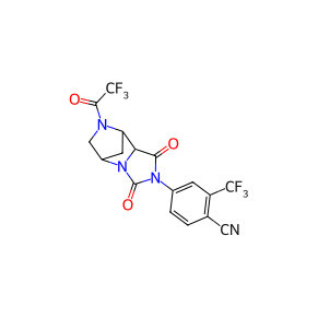 N#Cc1ccc(N2C(=O)C3C4CC(CN4C(=O)C(F)(F)F)N3C2=O)cc1C(F)(F)F